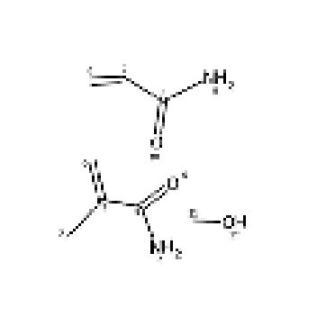 C=C(C)C(N)=O.C=CC(N)=O.CO